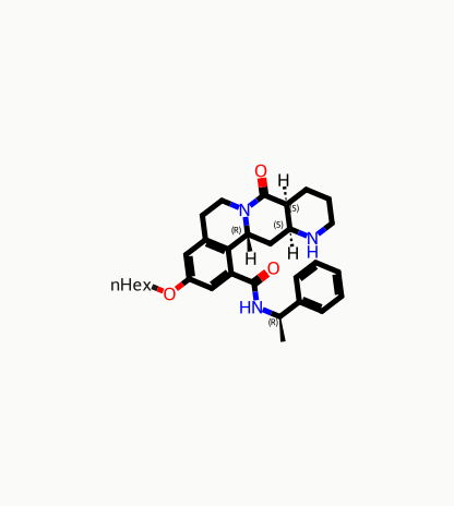 CCCCCCOc1cc2c(c(C(=O)N[C@H](C)c3ccccc3)c1)[C@H]1C[C@@H]3NCCC[C@@H]3C(=O)N1CC2